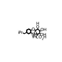 CC(C)Cc1ccc(O[C@@H]2O[C@H](C(=O)O)[C@@H](O)[C@H](O)[C@H]2O)c(NC(C)C)c1